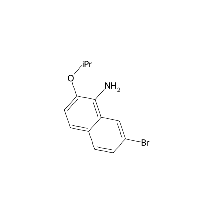 CC(C)Oc1ccc2ccc(Br)cc2c1N